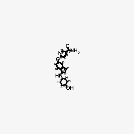 NC(=O)c1ccc(Oc2ccc3c(c2)CCC3NC2CCC(O)CC2)nc1